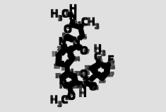 CNC(=O)C(C)Cn1cnc2ccc(-c3cnc(OC)c(NS(=O)(=O)c4ccc(F)c(C)c4)c3)cc2c1=O